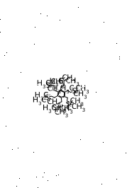 C[Si](C)(C)CCc1c(CC[Si](C)(C)C)c(CC[Si](C)(C)C)c(CC[Si](C)(C)C)c(CC[Si](C)(C)C)c1CC[Si](C)(C)C